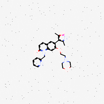 Cc1noc(C)c1-c1cc2ccc(=O)n(Cc3ccccn3)c2cc1OCCN1CCOCC1